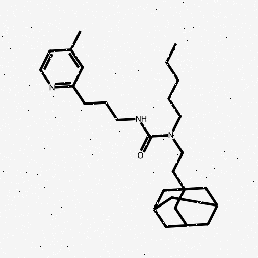 CCCCCN(CCC12CC3CC(CC(C3)C1)C2)C(=O)NCCCc1cc(C)ccn1